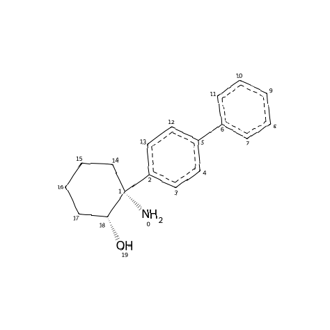 N[C@@]1(c2ccc(-c3ccccc3)cc2)CCCC[C@H]1O